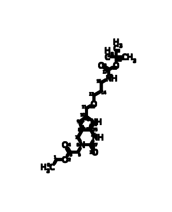 CCOC(=O)CN1Cc2cc(COCCCNC(=O)OC(C)(C)C)[nH]c2NC1=O